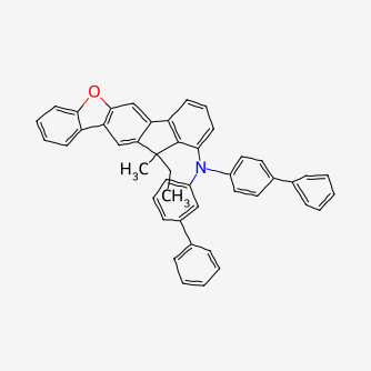 CCC1(C)c2cc3c(cc2-c2cccc(N(c4ccc(-c5ccccc5)cc4)c4cccc(-c5ccccc5)c4)c21)oc1ccccc13